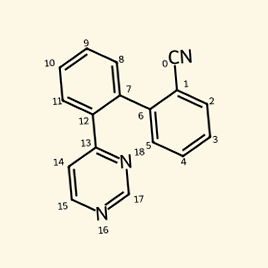 N#Cc1ccccc1-c1ccccc1-c1ccncn1